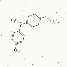 CCN1CCN([C@@H](C)c2ccc(C)cc2)CC1